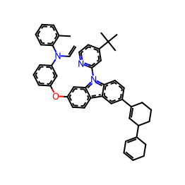 C=CN(c1cccc(Oc2ccc3c4cc(C5=CC(C6=CC=CCC6)CCC5)ccc4n(-c4cc(C(C)(C)C)ccn4)c3c2)c1)c1ccccc1C